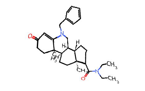 CCN(CC)C(=O)C1CC[C@H]2[C@@H]3CN(Cc4ccccc4)C4=CC(=O)CC[C@]4(C)[C@@H]3CC[C@]12C